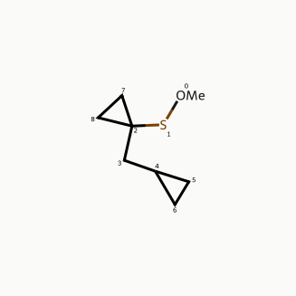 COSC1(CC2CC2)CC1